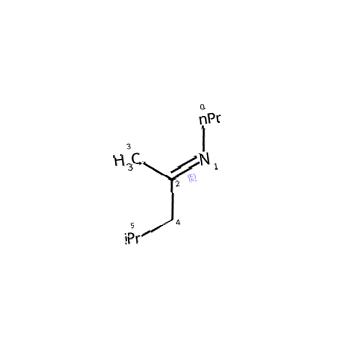 CCC/N=C(\C)CC(C)C